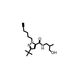 C#CCCCCn1nc(C(C)(C)C)cc1C(=O)NCC(C)CO